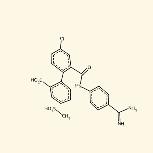 CS(=O)(=O)O.N=C(N)c1ccc(NC(=O)c2cc(Cl)ccc2-c2ccccc2C(=O)O)cc1